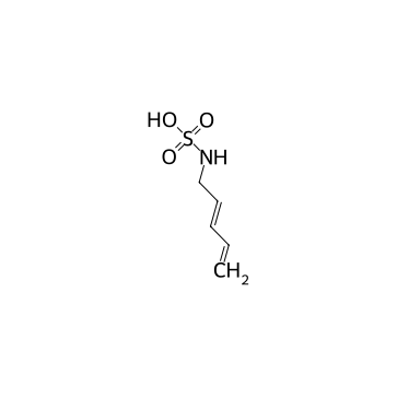 C=C/C=C/CNS(=O)(=O)O